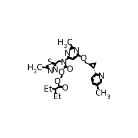 CCC(CC)C(=O)OCOC(=O)N(Cc1nnc(C)s1)c1cc(OC[C@H]2C[C@@H]2c2ccc(C)cn2)nc(C)n1